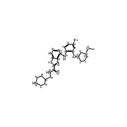 CO[C@H]1CCC[C@@H](Oc2cc(F)ccc2Nc2ncnc3sc(C(=O)NCC4CCNCC4)nc23)C1